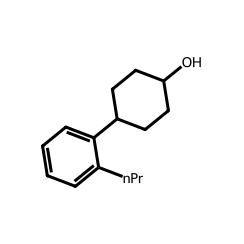 CCCc1ccccc1C1CCC(O)CC1